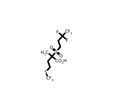 CC(CCSC(F)(F)F)(C(=O)O)S(=O)(=O)CCC(F)(F)C(F)(F)F